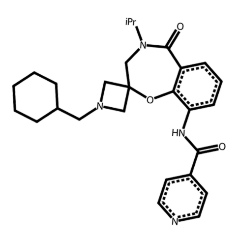 CC(C)N1CC2(CN(CC3CCCCC3)C2)Oc2c(NC(=O)c3ccncc3)cccc2C1=O